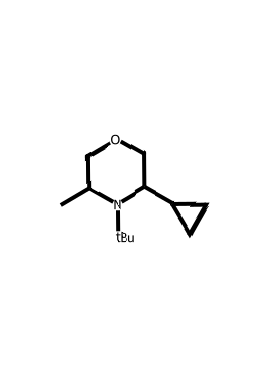 CC1COCC(C2CC2)N1C(C)(C)C